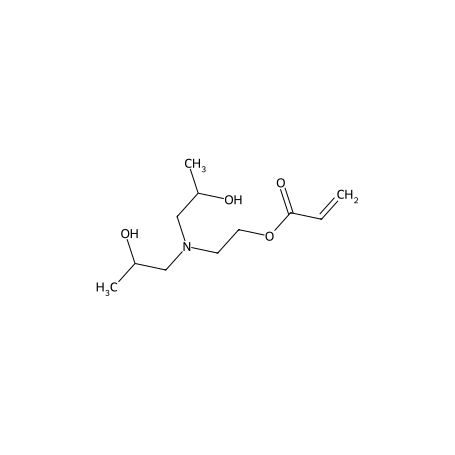 C=CC(=O)OCCN(CC(C)O)CC(C)O